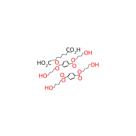 O=C(O)CCCCCCCCC(=O)O.O=C(OCCCCO)c1ccc(C(=O)OCCCCO)cc1.O=C(OCCCCO)c1ccc(C(=O)OCCCCO)cc1